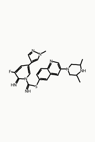 CC1CN(c2cnc3ccc(SC(=N)n4cc(-c5cnn(C)c5)cc(F)c4=N)cc3c2)CC(C)N1